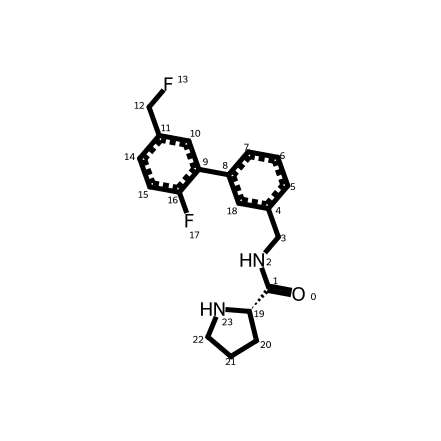 O=C(NCc1cccc(-c2cc(CF)ccc2F)c1)[C@@H]1CCCN1